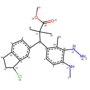 CNc1ccc(C(c2ccc3c(c2)C(Cl)CC3)C(C)(C)C(=O)OC)c(C)c1NN